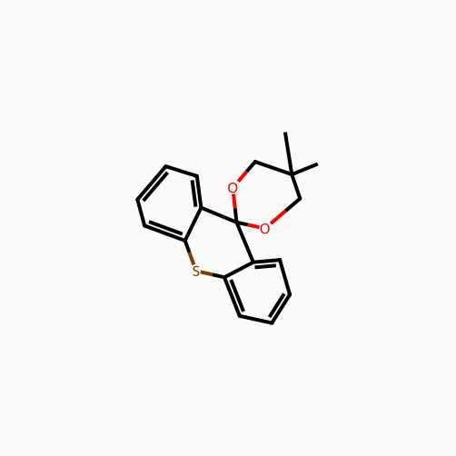 CC1(C)COC2(OC1)c1ccccc1Sc1ccccc12